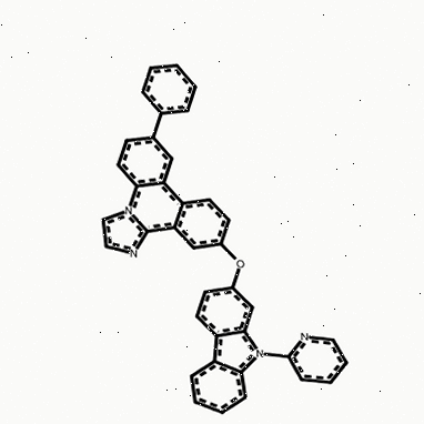 c1ccc(-c2ccc3c(c2)c2ccc(Oc4ccc5c6ccccc6n(-c6ccccn6)c5c4)cc2c2nccn32)cc1